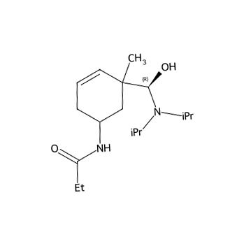 CCC(=O)NC1CC=CC(C)([C@@H](O)N(C(C)C)C(C)C)C1